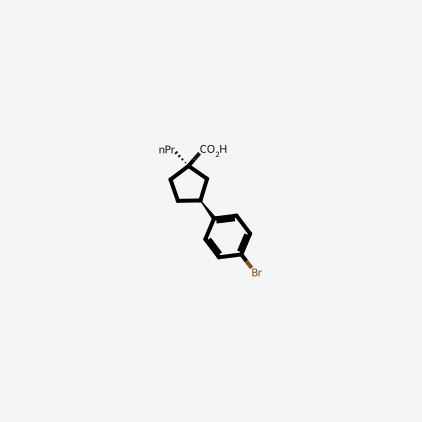 CCC[C@@]1(C(=O)O)CC[C@H](c2ccc(Br)cc2)C1